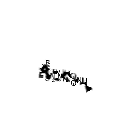 O=C(NCCC1CC1)Oc1ccc(N2CCN(C(=O)c3cc(F)ccc3F)CC2)nn1